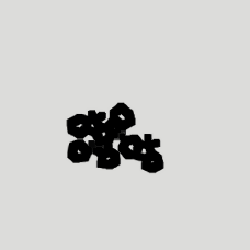 CC1(C)c2ccccc2-c2ccc(-n3c4ccccc4c4c5c(c6c(c7ccccc7n6-c6ccccc6)c43)-c3ccccc3C5(C)C)cc21